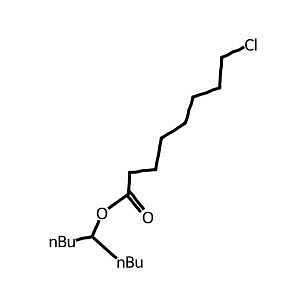 CCCCC(CCCC)OC(=O)CCCCCCCCl